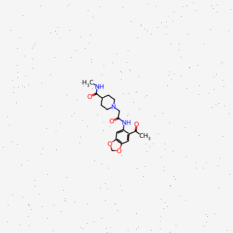 CNC(=O)C1CCN(CC(=O)Nc2cc3c(cc2C(C)=O)OCO3)CC1